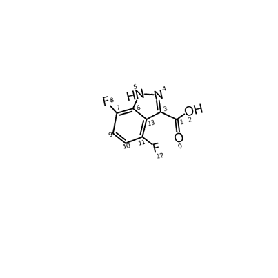 O=C(O)c1n[nH]c2c(F)ccc(F)c12